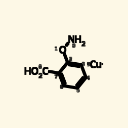 NOc1ccccc1C(=O)O.[Cu]